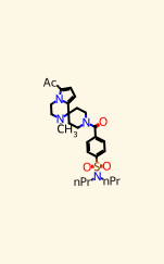 CCCN(CCC)S(=O)(=O)c1ccc(C(=O)N2CCC3(CC2)c2ccc(C(C)=O)n2CCN3C)cc1